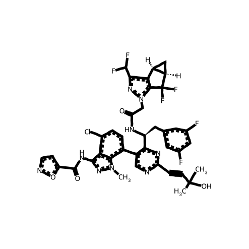 Cn1nc(NC(=O)c2ccno2)c2c(Cl)ccc(-c3cnc(C#CC(C)(C)O)nc3[C@H](Cc3cc(F)cc(F)c3)NC(=O)Cn3nc(C(F)F)c4c3C(F)(F)[C@@H]3C[C@H]43)c21